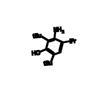 CC(C)c1cc(C(C)(C)C)c(O)c(C(C)(C)C)c1N